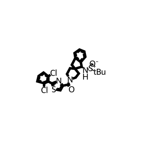 CC(C)(C)[S@@+]([O-])N[C@@H]1c2ccccc2CC12CCN(C(=O)c1csc(-c3c(Cl)cccc3Cl)n1)CC2